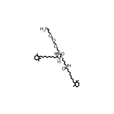 CC1=C(CCCCCCCCC(=O)NCCCC[C@H](NC(=O)CCCCCCCCC2=C(C)CCCC2(C)C)C(=O)NCCCOCCOCCOCCCN)C(C)(C)CCC1